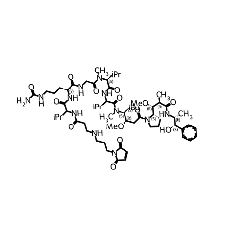 CC[C@H](C)[C@@H]([C@@H](CC(=O)N1CCC[C@H]1[C@H](OC)[C@@H](C)C(=O)N[C@H](C)[C@@H](O)c1ccccc1)OC)N(C)C(=O)C(NC(=O)[C@H](C(C)C)N(C)C(=O)CNC(=O)[C@H](CCCNC(N)=O)NC(=O)C(NC(=O)CCNCCCN1C(=O)C=CC1=O)C(C)C)C(C)C